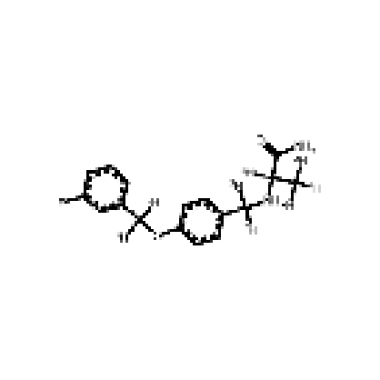 [2H]C([2H])(N[C@]([2H])(C(N)=O)C([2H])([2H])[2H])c1ccc(OC([2H])([2H])c2cccc(F)c2)cc1